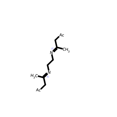 CC(=O)C/C(C)=N/CC/N=C(\C)CC(C)=O